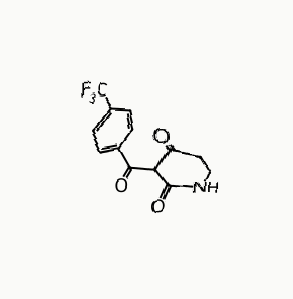 O=C1CCNC(=O)C1C(=O)c1ccc(C(F)(F)F)cc1